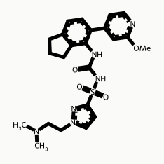 COc1cc(-c2ccc3c(c2NC(=O)NS(=O)(=O)c2ccn(CCN(C)C)n2)CCC3)ccn1